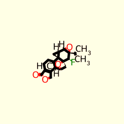 CC(C)[C@]12O[C@H]1[C@@H]1C[C@@]13[C@@]1(C)CCC4=C(COC4=O)[C@@H]1C1C[C@@]3(O1)[C@H]2F